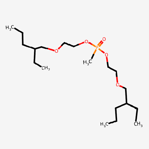 CCCC(CC)COCCOP(C)(=O)OCCOCC(CC)CCC